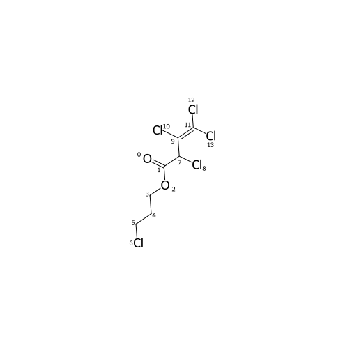 O=C(OCCCCl)C(Cl)C(Cl)=C(Cl)Cl